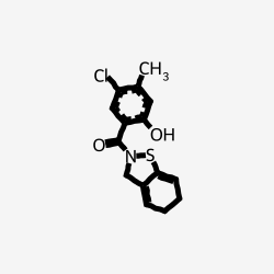 Cc1cc(O)c(C(=O)N2CC3=CCCC=C3S2)cc1Cl